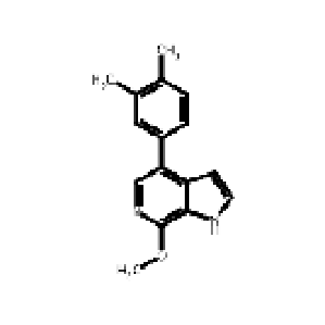 COc1ncc(-c2ccc(C)c(C)c2)c2cc[nH]c12